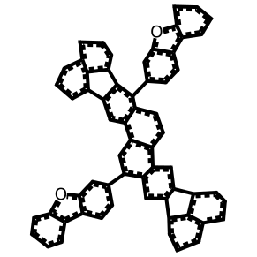 c1cc2c3c(cccc3c1)-c1cc3c(cc1-2)c(-c1ccc2c(c1)oc1ccccc12)cc1c2cc4c(c(-c5ccc6c(c5)oc5ccccc56)c2ccc31)-c1cccc2cccc-4c12